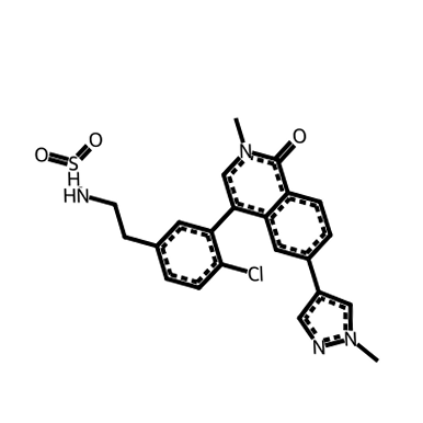 Cn1cc(-c2ccc3c(=O)n(C)cc(-c4cc(CCN[SH](=O)=O)ccc4Cl)c3c2)cn1